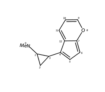 CNC1CC1c1ccc2occcc1-2